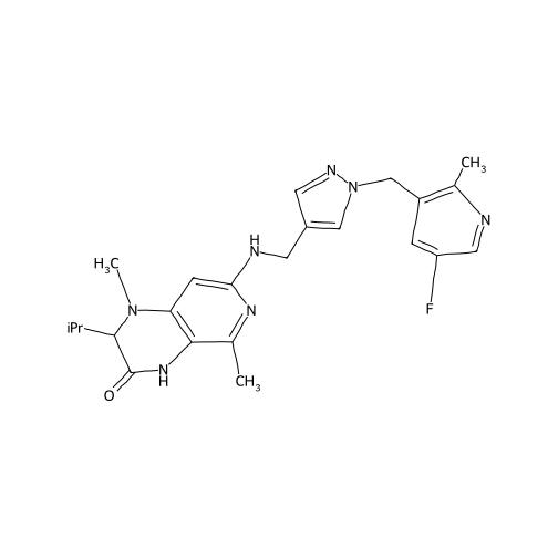 Cc1ncc(F)cc1Cn1cc(CNc2cc3c(c(C)n2)NC(=O)C(C(C)C)N3C)cn1